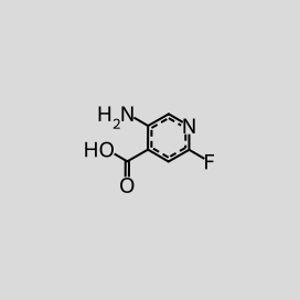 Nc1cnc(F)cc1C(=O)O